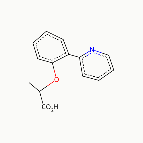 CC(Oc1ccccc1-c1ccccn1)C(=O)O